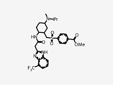 COC(=O)c1ccc(S(=O)(=O)CC2CC(N(C)C(C)C)CCC2NC(=O)Cc2nc3c(C(F)(F)F)cccc3[nH]2)cc1